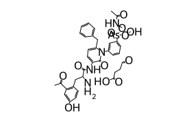 CC(=O)NO[As](=O)(OO)c1cccc(-n2c(Cc3ccccc3)ccc(NC(=O)C(N)Cc3ccc(O)cc3C(C)=O)c2=O)c1.O=CCCC(=O)O